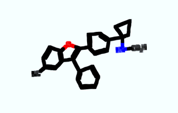 N#Cc1ccc2oc(-c3ccc(C4(NC(=O)O)CCC4)cc3)c(-c3ccccc3)c2c1